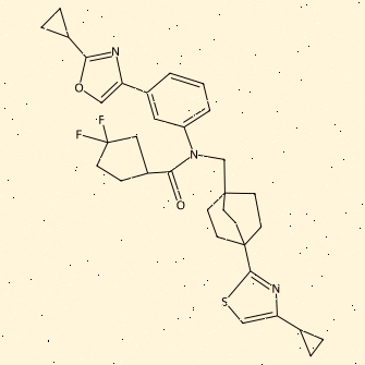 O=C(C1CCC(F)(F)C1)N(CC12CCC(c3nc(C4CC4)cs3)(CC1)CC2)c1cccc(-c2coc(C3CC3)n2)c1